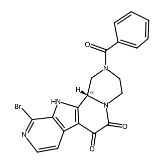 O=C1C(=O)N2CCN(C(=O)c3ccccc3)C[C@H]2c2[nH]c3c(Br)nccc3c21